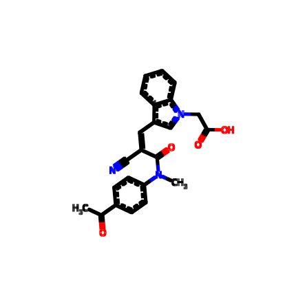 CC(=O)c1ccc(N(C)C(=O)C(C#N)=Cc2cn(CC(=O)O)c3ccccc23)cc1